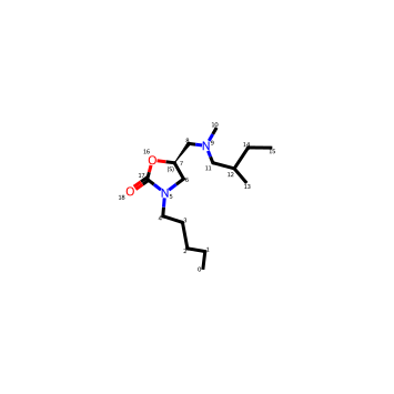 CCCCCN1C[C@H](CN(C)CC(C)CC)OC1=O